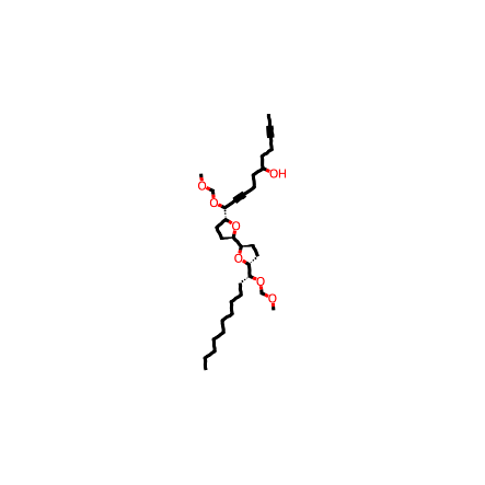 CC#CCCC(O)CCC#CC(OCOC)[C@H]1CC[C@H]([C@H]2CC[C@H]([C@@H](CCCCCCCCCC)OCOC)O2)O1